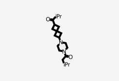 CC(C)CC(=O)N1CCN(C2CC3(CC(C(=O)C(C)C)C3)C2)CC1